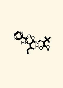 CCC(C)[C@H](NC(=O)c1cnccn1)C(=O)NC[C@H](C(=O)OC)C(C)(C)C